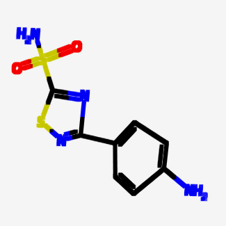 Nc1ccc(-c2nsc(S(N)(=O)=O)n2)cc1